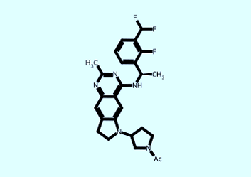 CC(=O)N1CCC(N2CCc3cc4nc(C)nc(N[C@H](C)c5cccc(C(F)F)c5F)c4cc32)C1